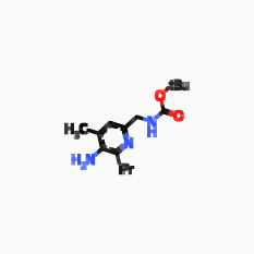 Cc1cc(CNC(=O)OC(C)(C)C)nc(C(C)C)c1N